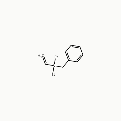 C=C[Si](CC)(CC)Cc1ccccc1